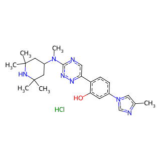 Cc1cn(-c2ccc(-c3cnc(N(C)C4CC(C)(C)NC(C)(C)C4)nn3)c(O)c2)cn1.Cl